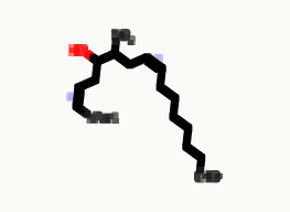 CCCCC/C=C\CC(O)C(C/C=C\CCCCCC[C]=O)[N+](=O)[O-]